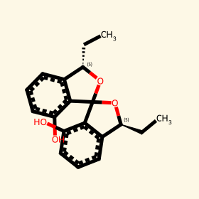 CC[C@@H]1OC2(O[C@@H](CC)c3cccc(O)c32)c2c(O)cccc21